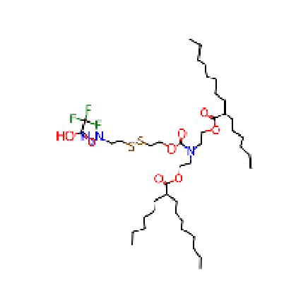 CCCCCCCCC(CCCCCC)C(=O)OCCN(CCOC(=O)C(CCCCCC)CCCCCCCC)C(=O)OCCSSCCN.O=C(O)C(F)(F)F